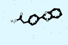 CC(=O)Cc1ccc(-c2nc3ccccc3o2)cc1